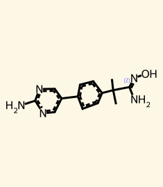 CC(C)(/C(N)=N/O)c1ccc(-c2cnc(N)nc2)cc1